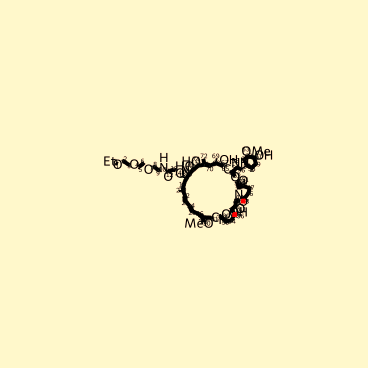 CCOCCOCCOCCNC(=O)CO/N=C1\[C@H](C)C[C@H](C)/C=C/C=C/C=C(\C)[C@@H](OC)C[C@@H]2CC[C@@H](C)[C@@](O)(O2)C(=O)C(=O)N2CCCC[C@H]2C(=O)O[C@H]([C@H](N)C[C@@H]2CC[C@@H](O)[C@H](OC)C2)C[C@@H](O)[C@H](C)/C=C(\C)[C@@H](O)[C@H]1O